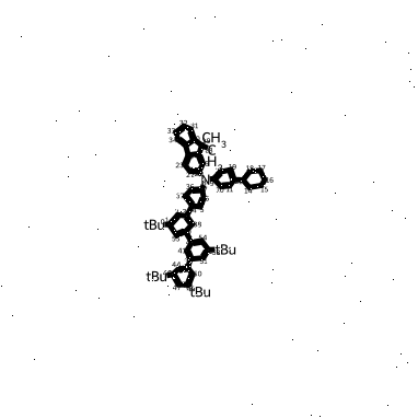 CC(C)(C)c1cc(-c2ccc(N(c3ccc(C4CCCCC4)cc3)c3ccc4c(c3)C(C)(C)c3ccccc3-4)cc2)cc(-c2cc(-c3cc(C(C)(C)C)cc(C(C)(C)C)c3)cc(C(C)(C)C)c2)c1